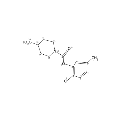 Cc1ccc(Cl)c(OC(=O)N2CCC(C(=O)O)CC2)c1